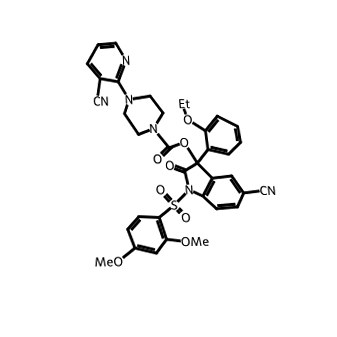 CCOc1ccccc1C1(OC(=O)N2CCN(c3ncccc3C#N)CC2)C(=O)N(S(=O)(=O)c2ccc(OC)cc2OC)c2ccc(C#N)cc21